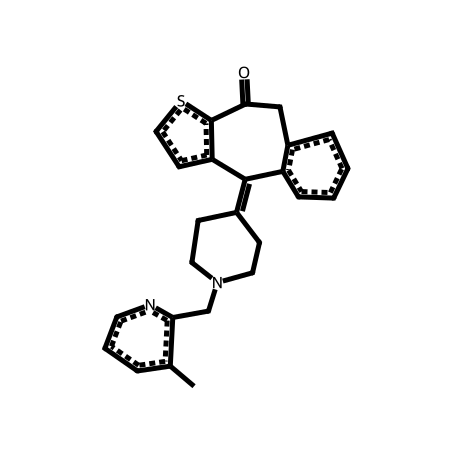 Cc1cccnc1CN1CCC(=C2c3ccccc3CC(=O)c3sccc32)CC1